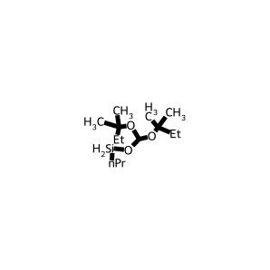 CCC[SiH2]OC(OC(C)(C)CC)OC(C)(C)CC